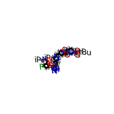 CC(C)N(C(=O)c1cc(F)ccc1Oc1cncnc1N1CC2(CCN(CC3=CCN(S(=O)(=O)N4CCCN(C(=O)OC(C)(C)C)CC4)CC3)CC2)C1)C(C)C